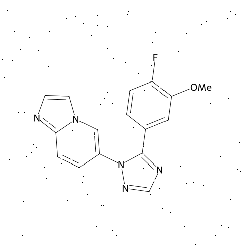 COc1cc(-c2ncnn2-c2ccc3nccn3c2)ccc1F